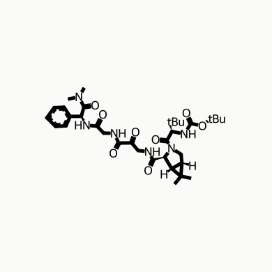 CN(C)C(=O)[C@@H](NC(=O)CNC(=O)C(=O)CNC(=O)[C@@H]1[C@@H]2[C@H](CN1C(=O)[C@@H](NC(=O)OC(C)(C)C)C(C)(C)C)C2(C)C)c1ccccc1